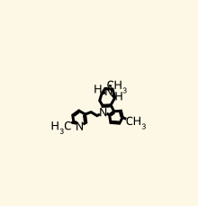 Cc1ccc2c(c1)c1c(n2CCc2ccc(C)nc2)C[C@H]2CC[C@@H]1N2C